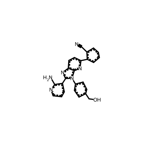 N#Cc1ccccc1-c1ccc2nc(-c3cccnc3N)n(-c3ccc(CO)cc3)c2n1